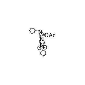 CC(=O)O[C@@H]1CN(Cc2ccccc2)C[C@H]1N1CCN(S(=O)(=O)c2ccccc2)CC1